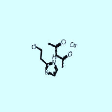 CC(=O)CC(C)=O.ClCCc1ncc[nH]1.[Co]